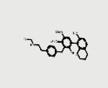 COc1cc(-c2c(O)ccc3c2CCCC3)c(N)c(Cc2ccc(CCNCC(C)C)cc2)c1OC